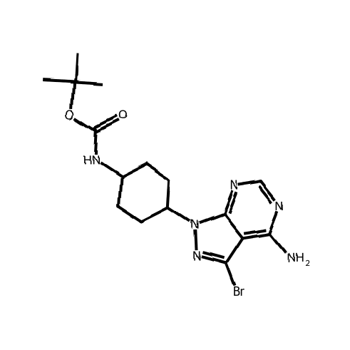 CC(C)(C)OC(=O)NC1CCC(n2nc(Br)c3c(N)ncnc32)CC1